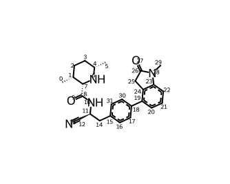 C[C@@H]1CC[C@H](C)N[C@@H]1C(=O)N[C@H](C#N)Cc1ccc(-c2cccc3c2CC(=O)N3C)cc1